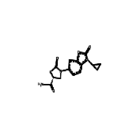 NC(=O)[C@H]1CN(c2ccc3c(c2)oc(=O)n3C2CC2)C(=O)O1